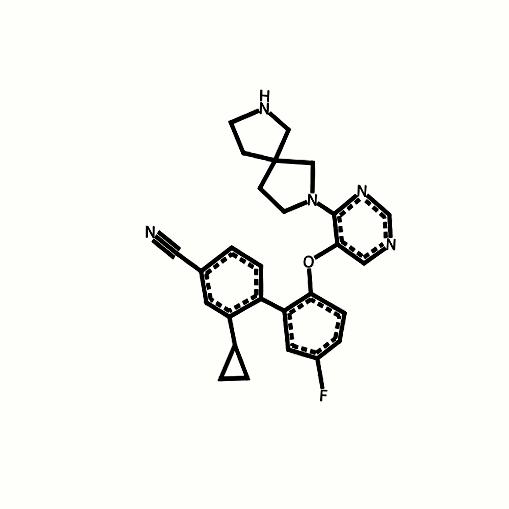 N#Cc1ccc(-c2cc(F)ccc2Oc2cncnc2N2CCC3(CCNC3)C2)c(C2CC2)c1